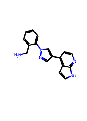 NCc1ccccc1-n1cc(-c2ccnc3[nH]ccc23)cn1